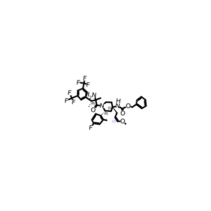 CO/C=C\C[C@]1(NC(=O)OCc2ccccc2)CCN(C(=O)C(C)(N)[C@H](C)c2cc(C(F)(F)F)cc(C(F)(F)F)c2)[C@@H](c2ccc(F)cc2C)C1